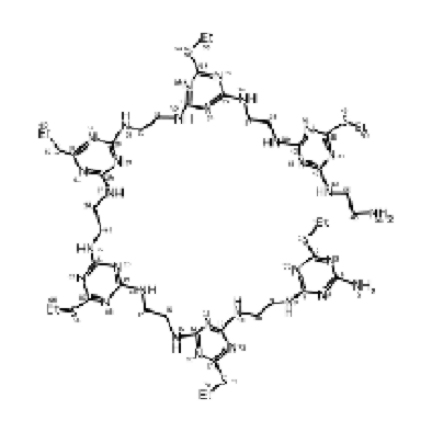 CCSc1nc(N)nc(NCCNc2nc(NCCNc3nc(NCCNc4nc(NCCNc5nc(NCCNc6nc(NCCN)nc(SCC)n6)nc(SCC)n5)nc(SCC)n4)nc(SCC)n3)nc(SCC)n2)n1